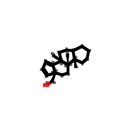 C[C@]12CCCCC1CC[C@H]1C3=CC=C[C@@]3(CO)CC[C@@H]12